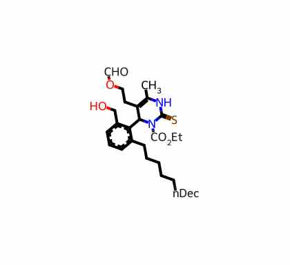 CCCCCCCCCCCCCCCc1cccc(CO)c1C1C(CCOC=O)=C(C)NC(=S)N1C(=O)OCC